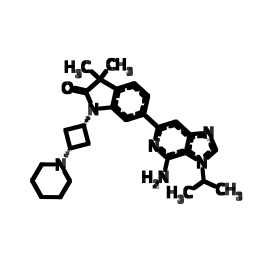 CC(C)n1cnc2cc(-c3ccc4c(c3)N([C@H]3C[C@@H](N5CCCCC5)C3)C(=O)C4(C)C)nc(N)c21